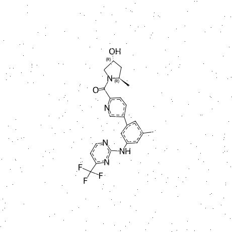 Cc1cc(Nc2nccc(C(F)(F)F)n2)cc(-c2ccc(C(=O)N3C[C@H](O)C[C@H]3C)nc2)c1